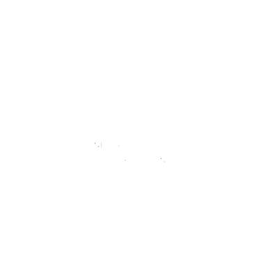 CCCCCCNCCc1ccc(CNCC(CCCC)CCCCCC)cc1